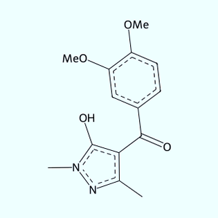 COc1ccc(C(=O)c2c(C)nn(C)c2O)cc1OC